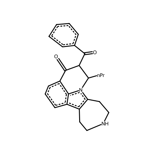 CCCC1C(C(=O)c2ccccc2)C(=O)c2cccc3c4c(n1c23)CCNCC4